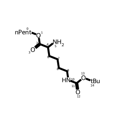 CCCCCOC(=O)C(N)CCCCNC(=O)OC(C)(C)C